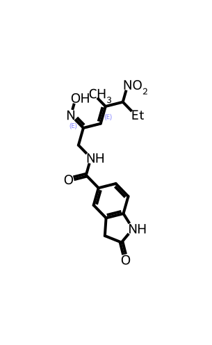 CCC(/C(C)=C/C(CNC(=O)c1ccc2c(c1)CC(=O)N2)=N\O)[N+](=O)[O-]